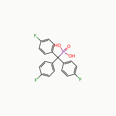 O=P(O)(O)C(c1ccc(F)cc1)(c1ccc(F)cc1)c1ccc(F)cc1